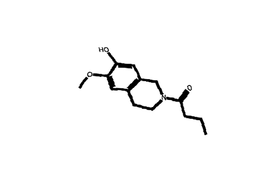 CCCC(=O)N1CCc2cc(OC)c(O)cc2C1